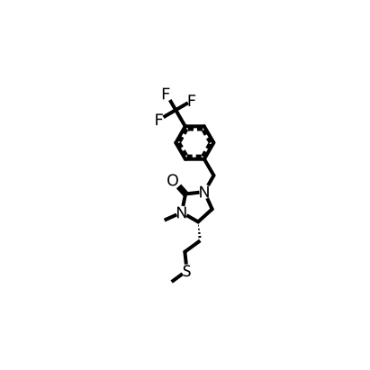 CSCC[C@H]1CN(Cc2ccc(C(F)(F)F)cc2)C(=O)N1C